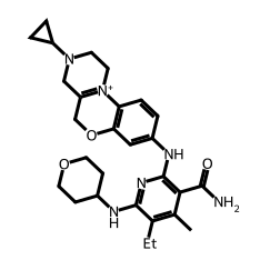 CCc1c(NC2CCOCC2)nc(Nc2ccc3c(c2)OCC2=[N+]3CCN(C3CC3)C2)c(C(N)=O)c1C